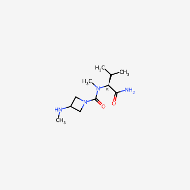 CNC1CN(C(=O)N(C)[C@H](C(N)=O)C(C)C)C1